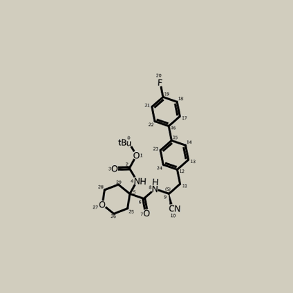 CC(C)(C)OC(=O)NC1(C(=O)N[C@H](C#N)Cc2ccc(-c3ccc(F)cc3)cc2)CCOCC1